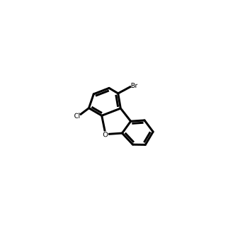 Clc1ccc(Br)c2c1oc1ccccc12